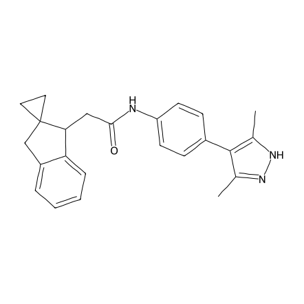 Cc1n[nH]c(C)c1-c1ccc(NC(=O)CC2c3ccccc3CC23CC3)cc1